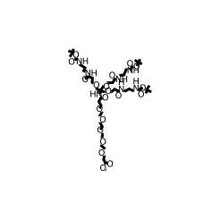 COC(=O)CCOCCOCCOCCOCCOCCC(=O)NC(COCCC(=O)NCCCNC(=O)OC(C)(C)C)(COCCC(=O)NCCCNC(=O)OC(C)(C)C)COCCC(=O)NCCCNC(=O)OC(C)(C)C